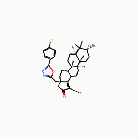 CC(=O)O[C@H]1CC[C@]2(C)[C@H]3CCC4C5=C(C(C)C)C(=O)C[C@]5(Cc5nnc(-c6ccc(Cl)cc6)o5)CC[C@@]4(C)[C@]3(C)CC[C@H]2C1(C)C